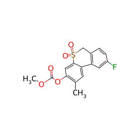 COC(=O)Oc1cc2c(cc1C)-c1cc(F)ccc1CS2(=O)=O